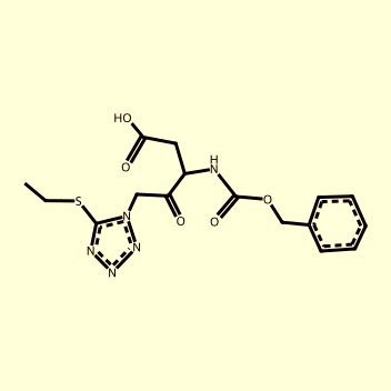 CCSc1nnnn1CC(=O)C(CC(=O)O)NC(=O)OCc1ccccc1